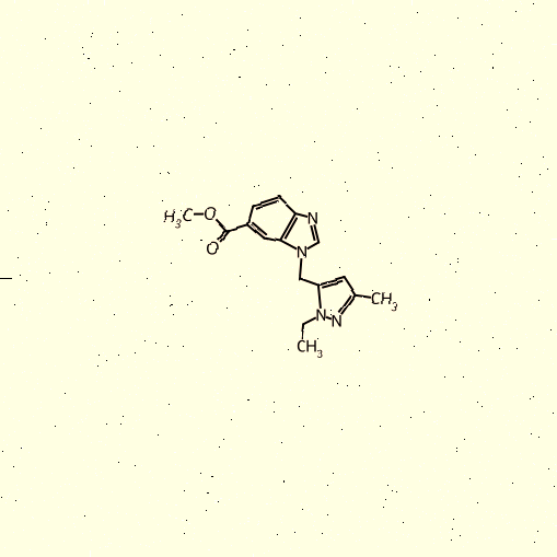 CCn1nc(C)cc1Cn1cnc2ccc(C(=O)OC)cc21